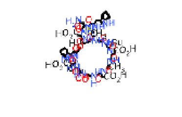 CCCCC1NC(=O)CNC(=O)C(NC(=O)C(CC(=O)O)NC(=O)C(CC(N)=O)NC(=O)C(Cc2c[nH]c3ccccc23)NC(C)=S)C(C)OC(=O)C(CC(=O)c2ccccc2N)NC(=O)C(C(C)CC(=O)O)NC(=O)C(CO)NC(=O)CNC(=O)C(CC(=O)O)NC(=O)C(C)NC(=O)C(CC(=O)O)NC1=O